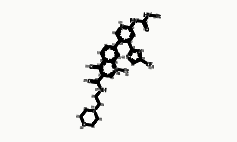 CCNC(=O)Nc1cc(-c2nc(C(F)(F)F)cs2)c(-c2ccc3c(=O)c(C(=O)NCCN4CCOCC4)cn(CC)c3c2)cn1